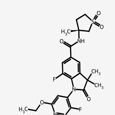 CCOc1cc(N2C(=O)C(C)(C)c3cc(C(=O)N[C@]4(C)CCS(=O)(=O)C4)cc(F)c32)c(F)cn1